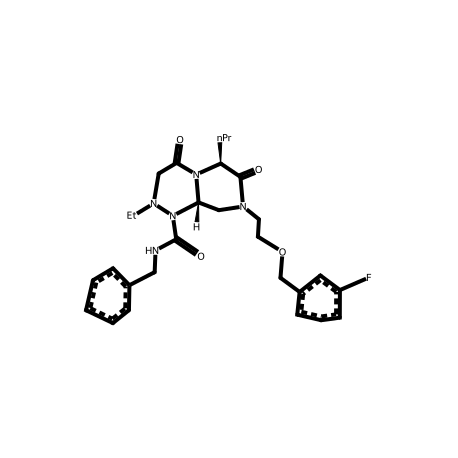 CCC[C@H]1C(=O)N(CCOCc2cccc(F)c2)C[C@H]2N1C(=O)CN(CC)N2C(=O)NCc1ccccc1